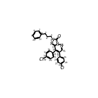 O=c1n(CCCc2ccccc2)nc2c(-c3ccc(Cl)cc3)c(-c3ccc(Cl)cc3)cnn12